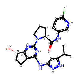 CC(C)c1cc(Nc2nc(N3CCC[C@H]3C(=O)Nc3ccc(F)nc3)nc3c2CC[C@@H]3O)n[nH]1